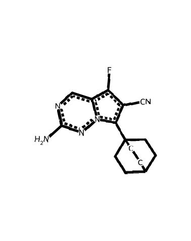 N#Cc1c(F)c2cnc(N)nn2c1C12CCC(CC1)CC2